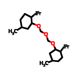 CC1CCC(C(C)C)C(OCOCOC2CC(C)CCC2C(C)C)C1